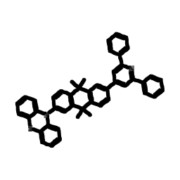 CC1(C)c2ccc(N3c4ccccc4Sc4ccccc43)cc2C(C)(C)c2ccc(-c3cc(-c4ccccc4)nc(-c4ccccc4)c3)cc21